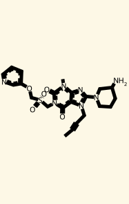 CC#CCn1c(N2CCCC(N)C2)nc2c1c(=O)n(CS(=O)(=O)COc1cccnc1)c(=O)n2C